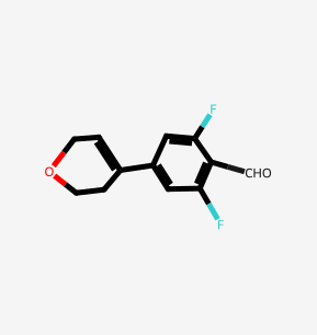 O=Cc1c(F)cc(C2=CCOCC2)cc1F